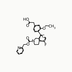 CCOc1cc(CC(=O)O)ccc1-c1ccc(F)c2c1CN(C(=O)OCc1ccccn1)CC2